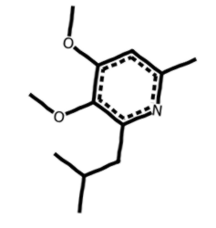 COc1cc(C)nc(CC(C)C)c1OC